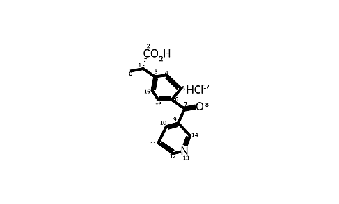 C[C@H](C(=O)O)c1ccc(C(=O)c2cccnc2)cc1.Cl